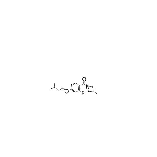 CC(C)CCOc1ccc(C(=O)N2CC(C)C2)c(F)c1